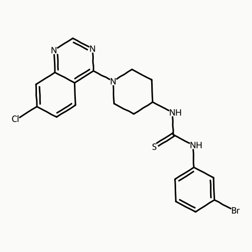 S=C(Nc1cccc(Br)c1)NC1CCN(c2ncnc3cc(Cl)ccc23)CC1